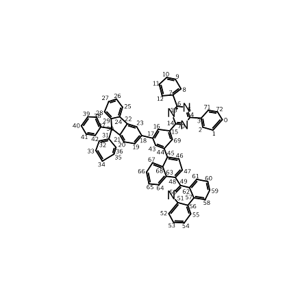 c1ccc(-c2nc(-c3ccccc3)nc(-c3cc(-c4ccc5c(c4)-c4ccccc4C5(c4ccccc4)c4ccccc4)cc(-c4ccc(-c5nc6ccccc6c6ccccc56)c5ccccc45)c3)n2)cc1